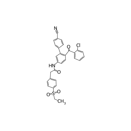 CCS(=O)(=O)c1ccc(CC(=O)Nc2ccc(C(=O)c3ccccc3Cl)c(-c3ccc(C#N)cc3)c2)cc1